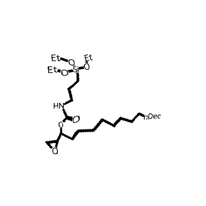 CCCCCCCCCCCCCCCCCCC(OC(=O)NCCC[Si](OCC)(OCC)OCC)C1CO1